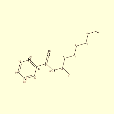 CCCCCCC(C)OC(=O)c1cnccn1